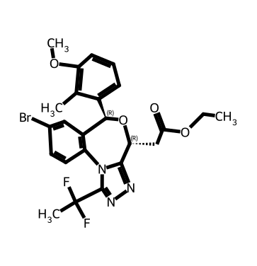 CCOC(=O)C[C@H]1O[C@H](c2cccc(OC)c2C)c2cc(Br)ccc2-n2c1nnc2C(C)(F)F